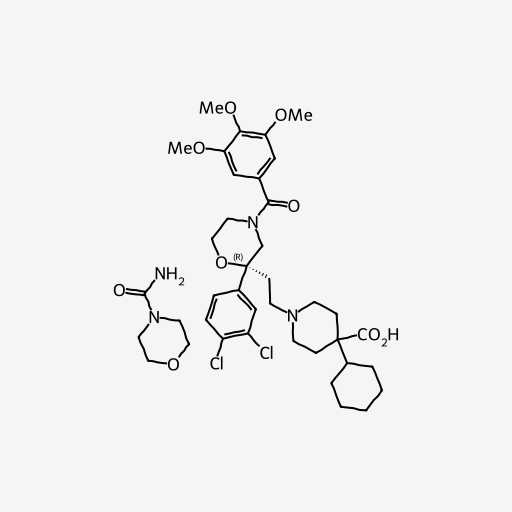 COc1cc(C(=O)N2CCO[C@](CCN3CCC(C(=O)O)(C4CCCCC4)CC3)(c3ccc(Cl)c(Cl)c3)C2)cc(OC)c1OC.NC(=O)N1CCOCC1